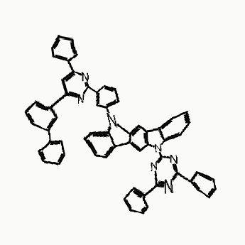 c1ccc(-c2cccc(-c3cc(-c4ccccc4)nc(-c4cccc(-n5c6ccccc6c6cc7c(cc65)c5ccccc5n7-c5nc(-c6ccccc6)nc(-c6ccccc6)n5)c4)n3)c2)cc1